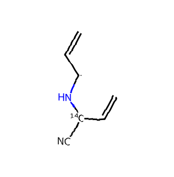 C=C[CH]N[14CH](C=C)[14C]#N